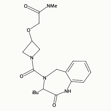 CCC(C)C1C(=O)Nc2ccccc2CN1C(=O)N1CC(OCC(=O)NC)C1